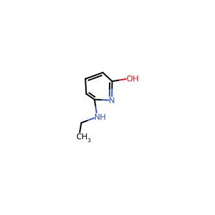 CCNc1cccc(O)n1